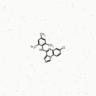 Cc1cc(C)c(Nc2nc3cc(Cl)ccc3n3cncc23)c(C)c1